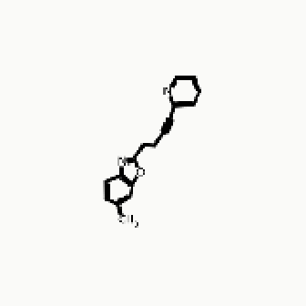 Cc1ccc2nc(CCC#Cc3ccccn3)oc2c1